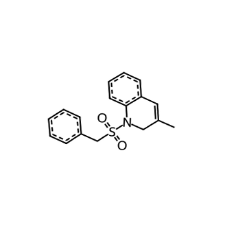 CC1=Cc2ccccc2N(S(=O)(=O)Cc2ccccc2)C1